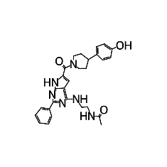 CC(=O)NCCNc1nc(-c2ccccc2)nc2[nH]c(C(=O)N3CCC(c4ccc(O)cc4)CC3)cc12